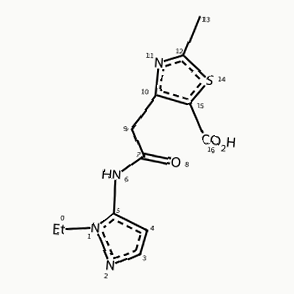 CCn1nccc1NC(=O)Cc1nc(C)sc1C(=O)O